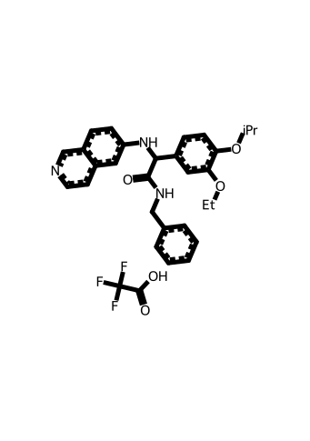 CCOc1cc(C(Nc2ccc3cnccc3c2)C(=O)NCc2ccccc2)ccc1OC(C)C.O=C(O)C(F)(F)F